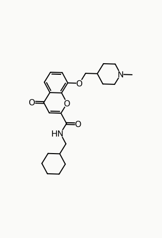 CN1CCC(COc2cccc3c(=O)cc(C(=O)NCC4CCCCC4)oc23)CC1